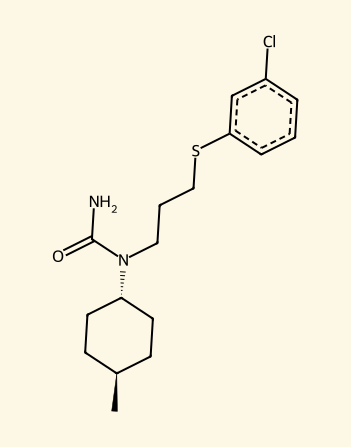 C[C@H]1CC[C@H](N(CCCSc2cccc(Cl)c2)C(N)=O)CC1